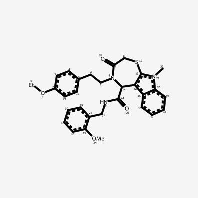 CCOc1ccc(CCN2C(=O)CSc3c(c4ccccc4n3C)C2C(=O)NCc2ccccc2OC)cc1